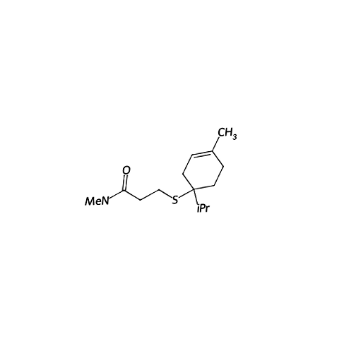 CNC(=O)CCSC1(C(C)C)CC=C(C)CC1